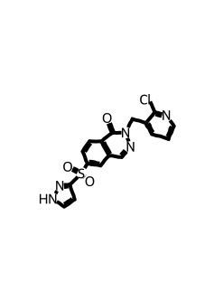 O=c1c2ccc(S(=O)(=O)c3cc[nH]n3)cc2cnn1Cc1cccnc1Cl